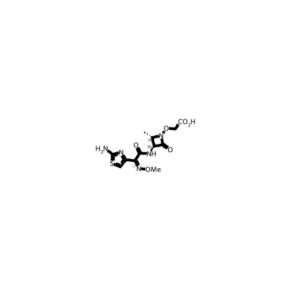 CO/N=C(\C(=O)N[C@@H]1C(=O)N(OCC(=O)O)[C@H]1C)c1csc(N)n1